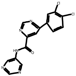 O=C(Nc1cncnc1)c1cc(-c2ccc(Cl)c(Cl)c2)ncn1